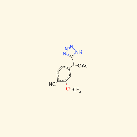 CC(=O)OC(c1ccc(C#N)c(OC(F)(F)F)c1)c1nnn[nH]1